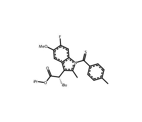 CCC(C)[C@H](C(=O)OC(C)C)c1c(C)n(C(=S)c2ccc(C)cc2)c2cc(F)c(OC)cc12